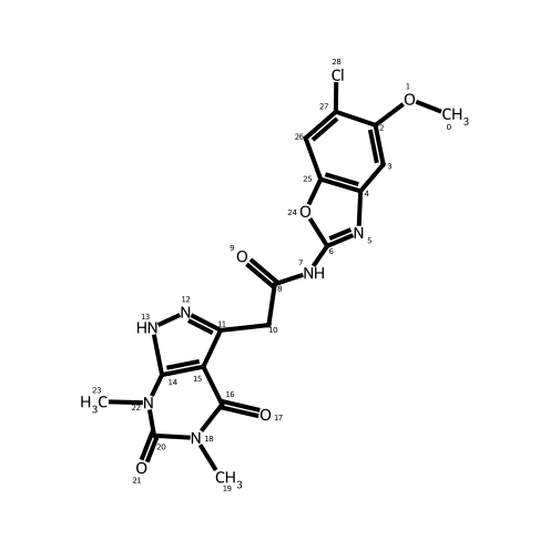 COc1cc2nc(NC(=O)Cc3n[nH]c4c3c(=O)n(C)c(=O)n4C)oc2cc1Cl